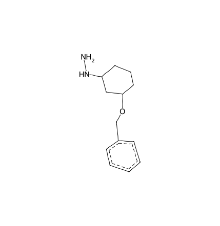 NNC1CCCC(OCc2ccccc2)C1